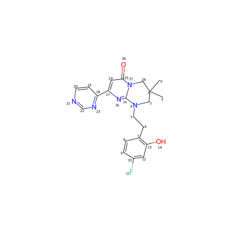 CC1(C)CN(CCc2ccc(F)cc2O)c2nc(-c3ccncn3)cc(=O)n2C1